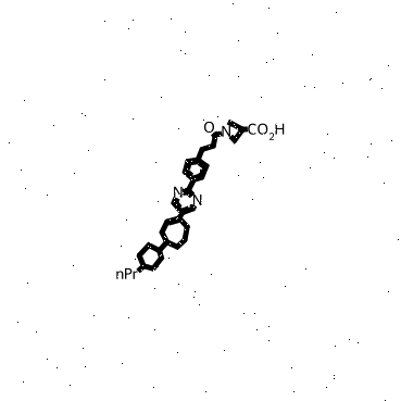 CCCC1CCC(C2CC=C(c3cnc(-c4ccc(CCC(=O)N5CC(C(=O)O)C5)cc4)nc3)CCC2)CC1